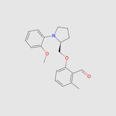 COc1ccccc1N1CCC[C@H]1COc1cccc(C)c1C=O